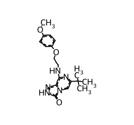 COc1ccc(OCCNc2nc(C(C)(C)C)cn3c(=O)[nH]nc23)cc1